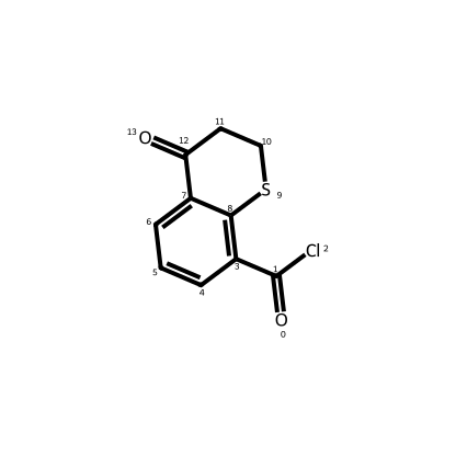 O=C(Cl)c1cccc2c1SCCC2=O